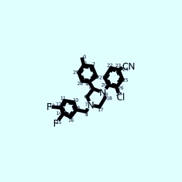 Cc1ccc(C2CN(Cc3ccc(F)c(F)c3)CCN2c2ccc(C#N)cc2Cl)cc1